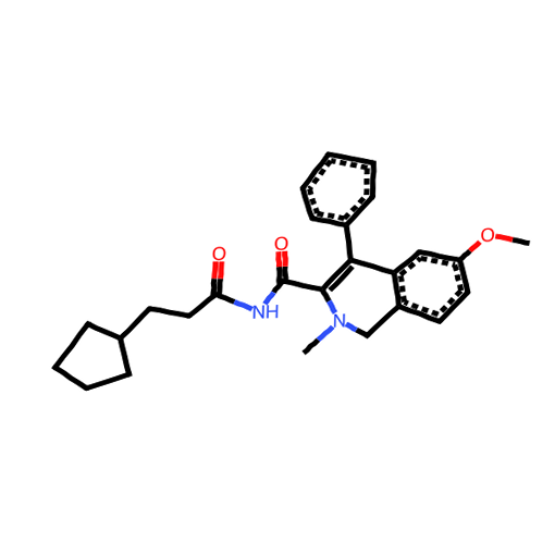 COc1ccc2c(c1)C(c1ccccc1)=C(C(=O)NC(=O)CCC1CCCC1)N(C)C2